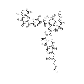 C/C=C/CCC(O)CC(=O)NC(CC)C(=O)N(C)CC(=O)N(C)CC(=O)NCC(=O)N(C)C(CC(C)C)C(=O)N[C@@H](C)C(=O)NC(C)C(=O)N(C)CC(=O)N(C)CC(=O)N(C)C(C(=O)N(C)C)C(C)C